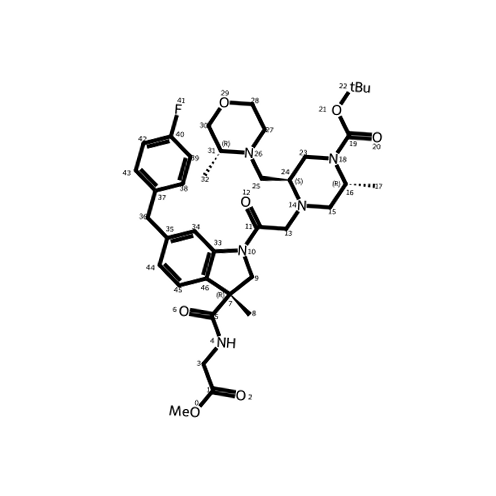 COC(=O)CNC(=O)[C@@]1(C)CN(C(=O)CN2C[C@@H](C)N(C(=O)OC(C)(C)C)C[C@@H]2CN2CCOC[C@H]2C)c2cc(Cc3ccc(F)cc3)ccc21